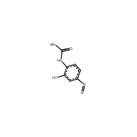 CC(C)(C)C(=O)Nc1ccc(N=[N])cc1O